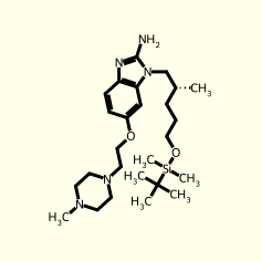 C[C@H](CCCO[Si](C)(C)C(C)(C)C)Cn1c(N)nc2ccc(OCCN3CCN(C)CC3)cc21